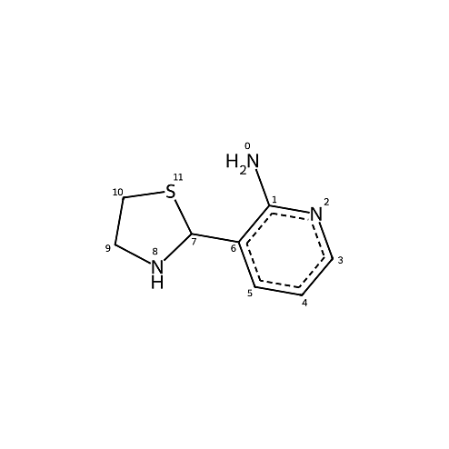 Nc1ncccc1C1NCCS1